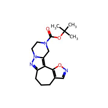 CC(C)(C)OC(=O)N1CCn2nc3c(c2C1)-c1oncc1CCC3